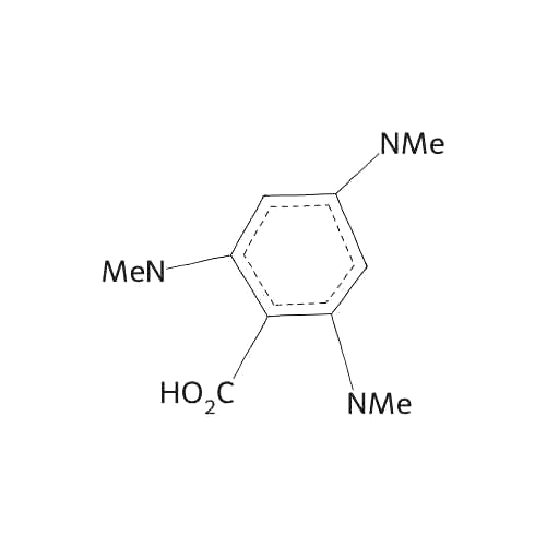 CNc1cc(NC)c(C(=O)O)c(NC)c1